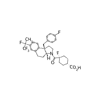 CC(F)(c1ccc2c(c1)CC[C@H]1N(C(=O)[C@]3(F)CC[C@@H](C(=O)O)CC3)CC[C@@]21Cc1ccc(F)cc1)C(F)(F)F